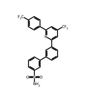 NS(=O)(=O)c1cccc(-c2cccc(-c3cc(C(F)(F)F)cc(-c4ccc(C(F)(F)F)cc4)n3)c2)c1